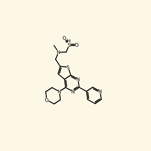 CN(Cc1cc2c(N3CCOCC3)nc(-c3cccnc3)nc2s1)C[SH](=O)=O